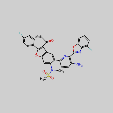 CNC(=O)c1c(-c2ccc(F)cc2)oc2cc(N(C)S(C)(=O)=O)c(-c3ccc(N)c(-c4nc5c(F)cccc5o4)n3)cc12